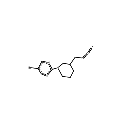 [N-]=[N+]=NCC1CCCN(c2ncc(Br)cn2)C1